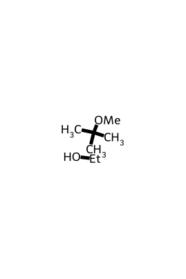 CCO.COC(C)(C)C